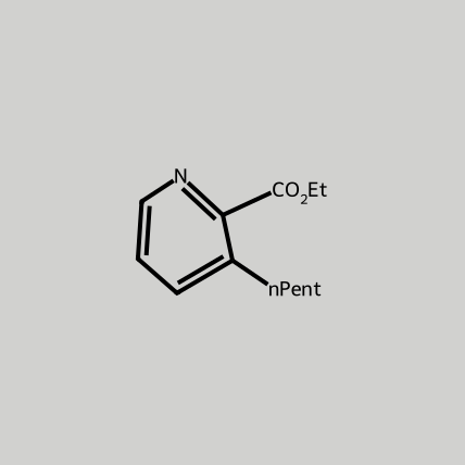 CCCCCc1cccnc1C(=O)OCC